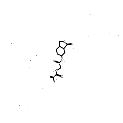 C=C(C)C(=O)OCC(=O)OC1CCC2COC(=O)C2C1